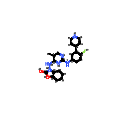 Cc1cnc(Nc2ccc(F)c(-c3ccncc3)c2)nc1Nn1c(=O)oc2ccccc21